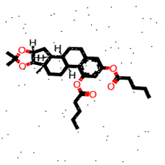 CCCCC(=O)Oc1cc2c(c(OC(=O)CCCC)c1)[C@H]1CC[C@]3(C)[C@@H]4OC(C)(C)O[C@@H]4C[C@H]3[C@H]1CC2